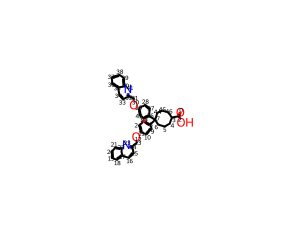 O=C(O)C1CCCC(c2ccc(OCc3ccc4ccccc4n3)cc2)(c2ccc(OCc3ccc4ccccc4n3)cc2)CCC1